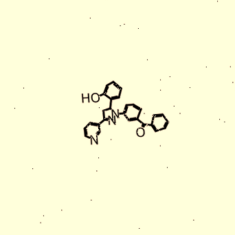 O=C(c1ccccc1)c1cccc(N2N=C(c3cccnc3)CC2c2ccccc2O)c1